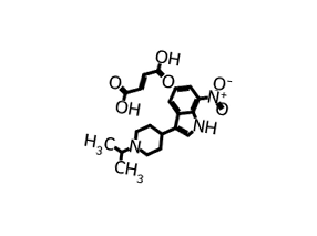 CC(C)N1CCC(c2c[nH]c3c([N+](=O)[O-])cccc23)CC1.O=C(O)C=CC(=O)O